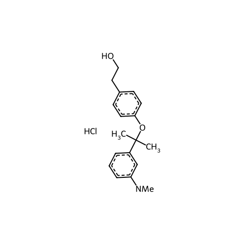 CNc1cccc(C(C)(C)Oc2ccc(CCO)cc2)c1.Cl